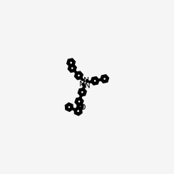 c1ccc(-c2ccc(-c3nc(-c4ccc(-c5ccc6ccccc6c5)cc4)nc(-c4ccc(-c5ccc6c(c5)oc5cccc(-c7ccccc7)c56)cc4)n3)cc2)cc1